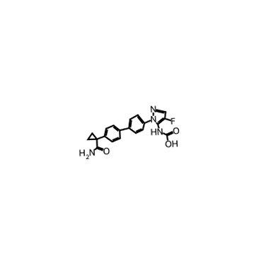 NC(=O)C1(c2ccc(-c3ccc(-n4ncc(F)c4NC(=O)O)cc3)cc2)CC1